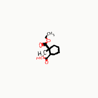 CCOC(=O)C1(C)CCCCC1C(=O)O